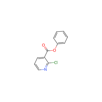 O=C(Oc1ccccc1)c1cccnc1Cl